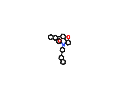 c1ccc(N(c2ccc(-c3ccc4ccccc4c3)cc2)c2cccc3oc4ccc5c6cc7ccccc7cc6oc5c4c23)cc1